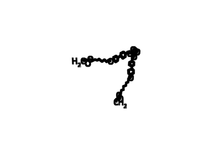 C=CC(=O)OCCCCCCCCOc1ccc(-c2ccc(COC3OCCOC3OCc3ccc(-c4ccc(OCCCCCCCCOC(=O)C=C)cc4)cc3)cc2)cc1